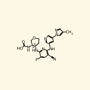 Cc1cnn(-c2cncc(Nc3nc(N[C@@H]4CCOC[C@@H]4NC(=O)O)c(F)cc3C#N)c2)c1